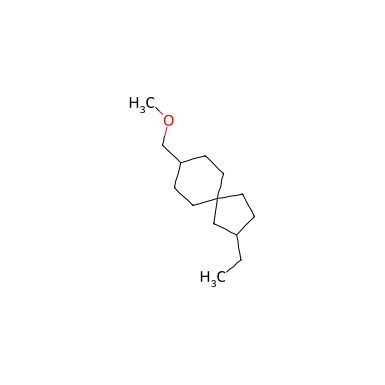 CCC1CCC2(CCC(COC)CC2)C1